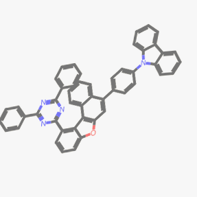 c1ccc(-c2nc(-c3ccccc3)nc(-c3cccc4oc5cc(-c6ccc(-n7c8ccccc8c8ccccc87)cc6)c6ccccc6c5c34)n2)cc1